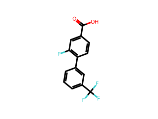 O=C(O)c1ccc(-c2cccc(C(F)(F)F)c2)c(F)c1